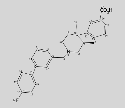 C[C@H]1CN(Cc2cccc(-c3ccc(F)cc3)c2)CC[C@@]1(C)c1cccc(C(=O)O)c1